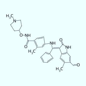 Cc1cc2c(cc1C=O)NC(=O)/C2=C(\Nc1ccc(C(=O)NOC2CCN(C)CC2)c(C)c1)c1ccccc1